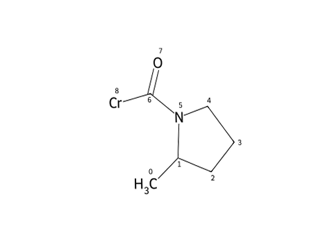 CC1CCCN1[C](=O)[Cr]